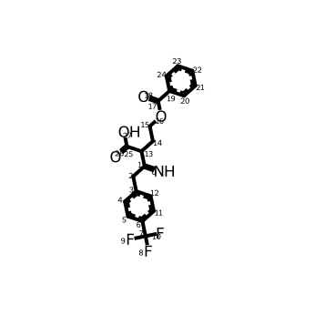 N=C(Cc1ccc(C(F)(F)F)cc1)C(CCOC(=O)c1ccccc1)C(=O)O